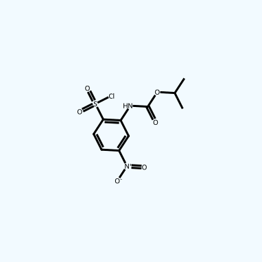 CC(C)OC(=O)Nc1cc([N+](=O)[O-])ccc1S(=O)(=O)Cl